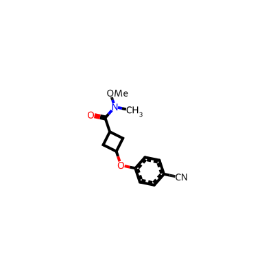 CON(C)C(=O)C1CC(Oc2ccc(C#N)cc2)C1